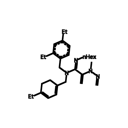 C=NN(C)C(=C)/C(=N\CCCCCC)N(CC1=CC=C(CC)CC1)Cc1ccc(CC)cc1CC